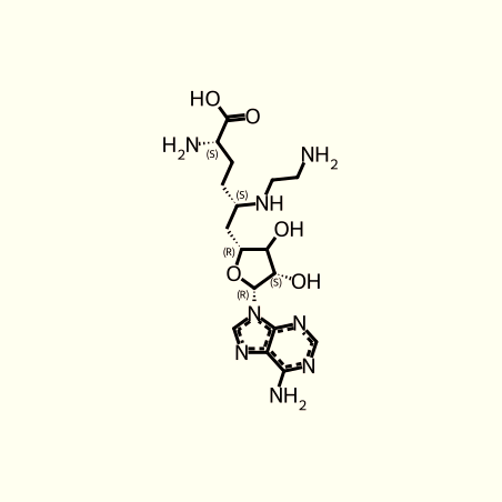 NCCN[C@@H](CC[C@H](N)C(=O)O)C[C@H]1O[C@@H](n2cnc3c(N)ncnc32)[C@@H](O)C1O